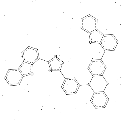 c1cc(-c2nc(-c3cccc4c3oc3ccccc34)ns2)cc(N2c3ccccc3Sc3cc(-c4cccc5c4oc4ccccc45)ccc32)c1